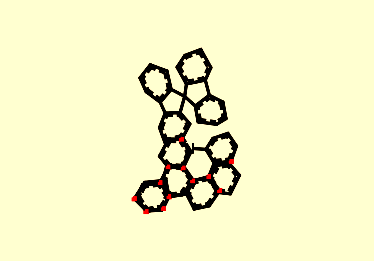 c1ccc(-c2ccccc2-c2c(-c3ccccc3)cccc2-c2ccccc2N(c2ccc3c(c2)C2(c4ccccc4-c4ccccc42)c2ccccc2-3)c2ccccc2-c2ccccc2)cc1